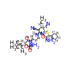 CCc1c(C#N)c(SC(C(N)=O)c2ccccc2)nc(N2CCC(NC(=O)[C@@H](CC(C)(C)C)OC(N)=O)CC2)c1C#N